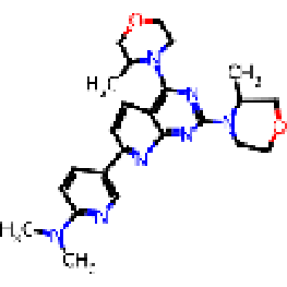 CC1COCCN1c1nc(N2CCOCC2C)c2ccc(-c3ccc(N(C)C)nc3)nc2n1